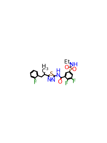 CCNS(=O)(=O)c1cc(F)c(F)c(C(=O)Nc2nnc(C(C)Cc3ccccc3F)s2)c1